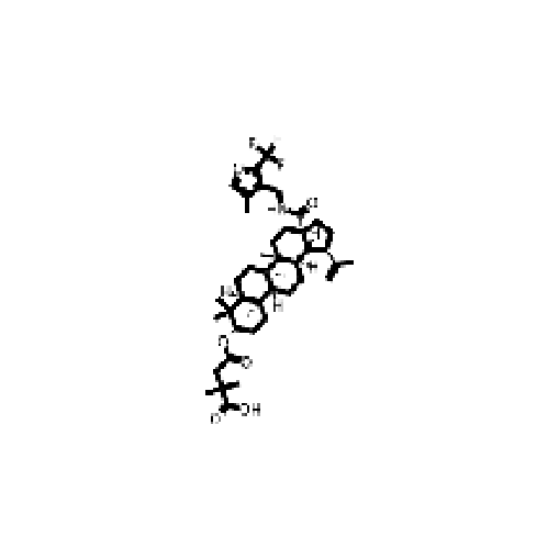 C=C(C)[C@@H]1CC[C@]2(C(=O)NCc3c(C)coc3C(F)(F)F)CC[C@]3(C)[C@H](CC[C@@H]4[C@@]5(C)CC[C@H](OC(=O)CC(C)(C)C(=O)O)C(C)(C)[C@@H]5CC[C@]43C)[C@@H]12